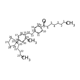 CCCCCCCC(=O)c1ccc(CCc2ccc(C3(CCCCC)CCCCC3)cc2C)cc1